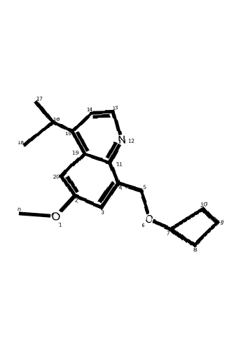 COc1cc(COC2CCC2)c2nccc(C(C)C)c2c1